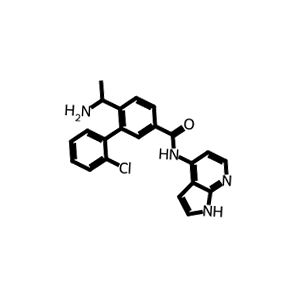 CC(N)c1ccc(C(=O)Nc2ccnc3[nH]ccc23)cc1-c1ccccc1Cl